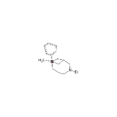 CCN1CC2CN(C)CC(C1)C2Oc1ccccc1